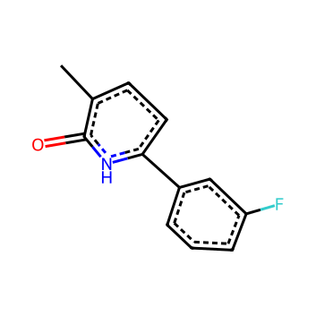 Cc1ccc(-c2cccc(F)c2)[nH]c1=O